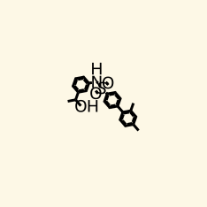 Cc1ccc(-c2ccc(S(=O)(=O)Nc3cccc(C(C)O)c3)cc2)c(C)c1